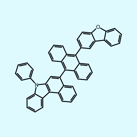 c1ccc(-n2c3ccccc3c3c4ccccc4c(-c4c5ccccc5c(-c5ccc6oc7ccccc7c6c5)c5ccccc45)cc32)cc1